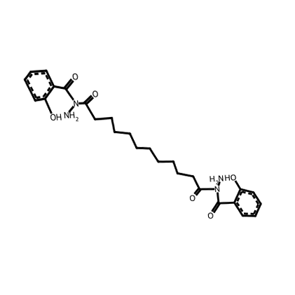 NN(C(=O)CCCCCCCCCCC(=O)N(N)C(=O)c1ccccc1O)C(=O)c1ccccc1O